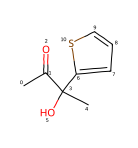 CC(=O)C(C)(O)c1cccs1